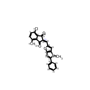 Cc1ccc(Cl)c2c1C(=O)/C(=C\c1cc3c(nc(-c4ccccc4)n3C)o1)C2=O